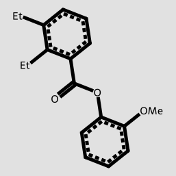 CCc1cccc(C(=O)Oc2ccccc2OC)c1CC